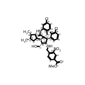 COC(=O)c1ccc(CN[C@@H]2[C@H](CO)N(C3C[C@H](C)[C@@H](C)C3)[C@]3(Cc4ccc(Cl)cc4NC3=O)[C@H]2c2cccc(Cl)c2F)c([N+](=O)[O-])c1